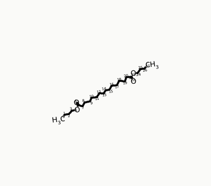 CCCCOC(=O)CCCCCCCCCCCCCCC(=O)OCCCC